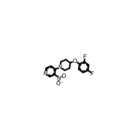 O=[N+]([O-])c1cnccc1N1CCC(Oc2ccc(F)cc2F)CC1